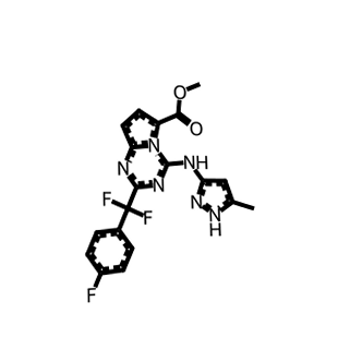 COC(=O)c1ccc2nc(C(F)(F)c3ccc(F)cc3)nc(Nc3cc(C)[nH]n3)n12